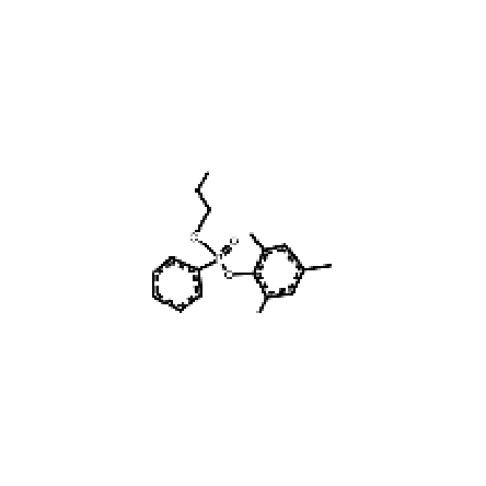 CCCOP(=O)(Oc1c(C)cc(C)cc1C)c1ccccc1